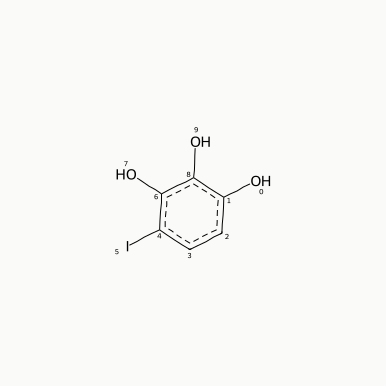 Oc1ccc(I)c(O)c1O